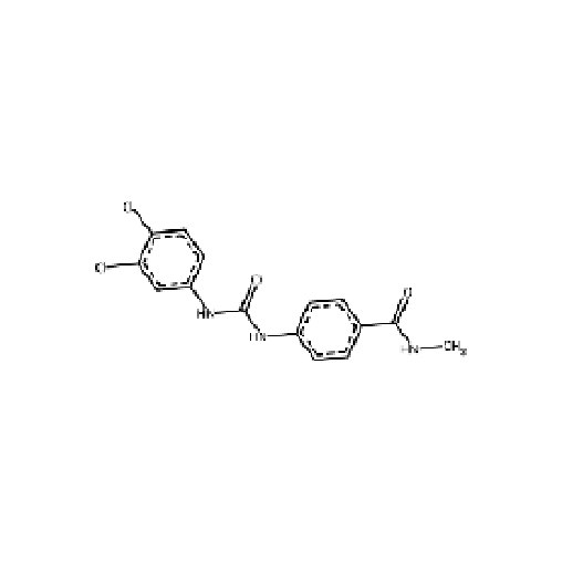 CNC(=O)c1ccc(NC(=O)Nc2ccc(Cl)c(Cl)c2)cc1